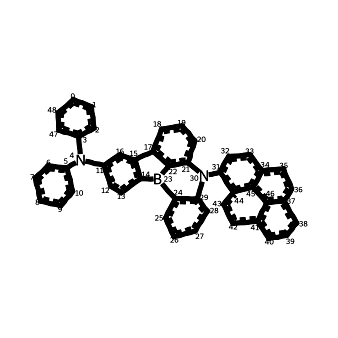 c1ccc(N(c2ccccc2)c2ccc3c(c2)-c2cccc4c2B3c2ccccc2N4c2ccc3ccc4cccc5ccc2c3c45)cc1